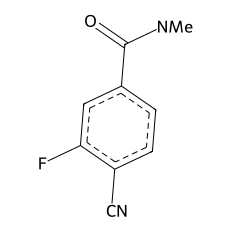 CNC(=O)c1ccc(C#N)c(F)c1